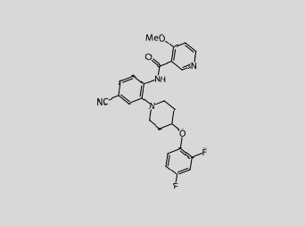 COc1ccncc1C(=O)Nc1ccc(C#N)cc1N1CCC(Oc2ccc(F)cc2F)CC1